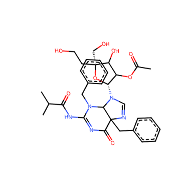 CC(=O)OC1C(O)[C@](CO)(CCO)O[C@H]1N1C=NC2(Cc3ccccc3)C(=O)N=C(NC(=O)C(C)C)N(Cc3ccccc3)C12